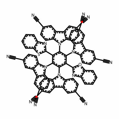 N#Cc1ccc2c(c1)c1cc(C#N)ccc1n2-c1c(-c2nc3ccccc3o2)c(-n2c3ccc(C#N)cc3c3cc(C#N)ccc32)c(-n2c3ccc(C#N)cc3c3cc(C#N)ccc32)c(-c2nc3ccccc3s2)c1-n1c2ccc(C#N)cc2c2cc(C#N)ccc21